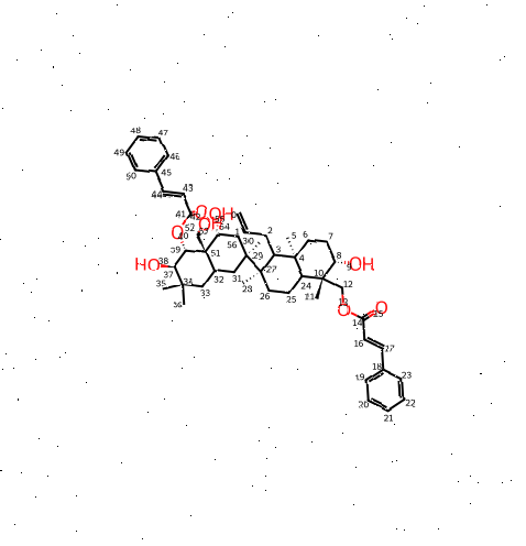 C=CCC1[C@@]2(C)CC[C@H](O)[C@](C)(COC(=O)/C=C/c3ccccc3)C2CC[C@@]1(C)[C@@]1(C)CC2CC(C)(C)[C@@H](O)[C@H](OC(=O)/C=C/c3ccccc3)[C@]2(CO)[C@H](O)C1